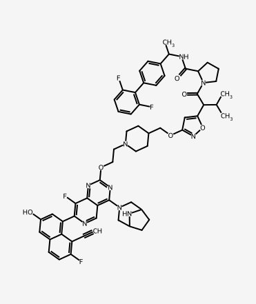 C#Cc1c(F)ccc2cc(O)cc(-c3ncc4c(N5CC6CCC(C5)N6)nc(OCCN5CCC(COc6cc(C(C(=O)N7CCCC7C(=O)NC(C)c7ccc(-c8c(F)cccc8F)cc7)C(C)C)on6)CC5)nc4c3F)c12